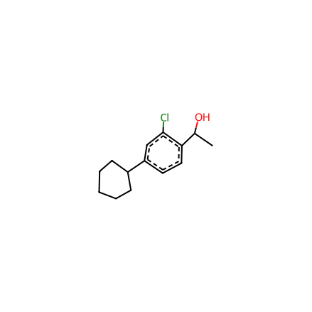 CC(O)c1ccc(C2CCCCC2)cc1Cl